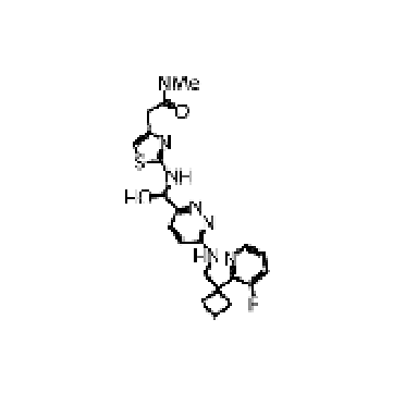 CNC(=O)Cc1csc(NC(O)c2ccc(NCC3(c4ncccc4F)CCC3)nn2)n1